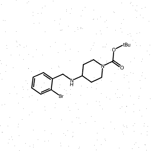 CC(C)(C)OC(=O)N1CCC(NCc2ccccc2Br)CC1